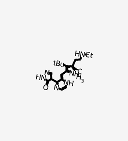 CCNCCc1c(C)[nH]c(C=C2NC=CN=C2C2C=NNC2=O)c1C(C)(C)C